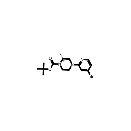 C[C@@H]1CN(c2cc(Br)ccn2)CCN1C(=O)OC(C)(C)C